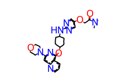 CN(C)C(=O)COc1cnc(NC2CCC(Oc3nc(N4CCOCC4)cc4ncccc34)CC2)nc1